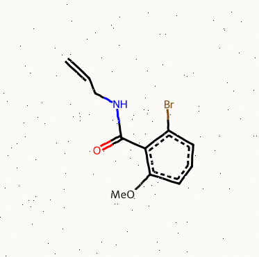 C=CCNC(=O)c1c(Br)cccc1OC